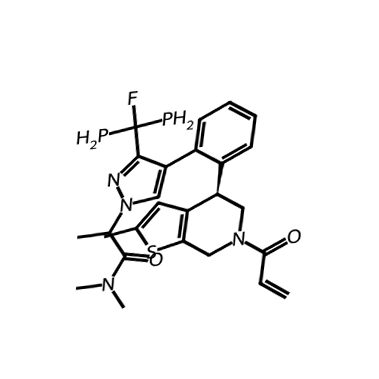 C=CC(=O)N1Cc2sc(C)cc2[C@@H](c2ccccc2-c2cn(C(C)C(=O)N(C)C)nc2C(F)(P)P)C1